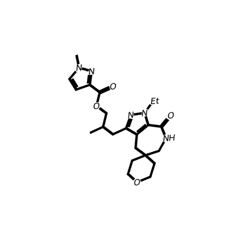 CCn1nc(CC(C)COC(=O)c2ccn(C)n2)c2c1C(=O)NCC1(CCOCC1)C2